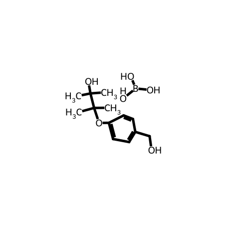 CC(C)(O)C(C)(C)Oc1ccc(CO)cc1.OB(O)O